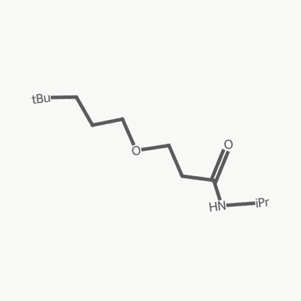 CC(C)NC(=O)CCOCCCC(C)(C)C